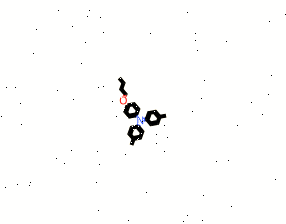 CCCCOc1ccc(N(c2ccc(C)cc2)c2ccc(C)cc2)cc1